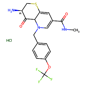 CNC(=O)C1=CN(Cc2ccc(OC(F)(F)F)cc2)C2C(=O)[C@@H](N)CSC2=C1.Cl